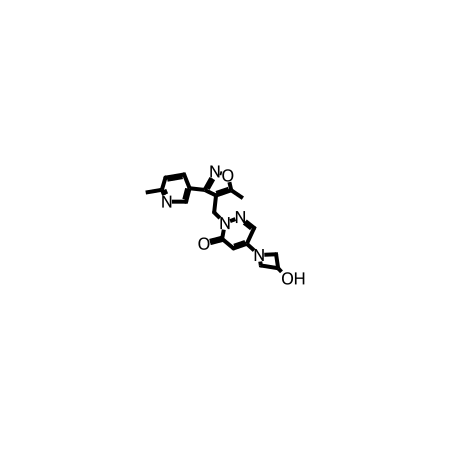 Cc1ccc(-c2noc(C)c2Cn2ncc(N3CC(O)C3)cc2=O)cn1